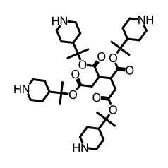 CC(C)(OC(=O)CC(C(=O)OC(C)(C)C1CCNCC1)C(CC(=O)OC(C)(C)C1CCNCC1)C(=O)OC(C)(C)C1CCNCC1)C1CCNCC1